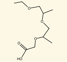 CCOCC(C)OCC(C)OCC(=O)O